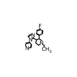 CCN1CCC(c2nccn2-c2ccncc2)C(c2ccc(F)cc2)C1